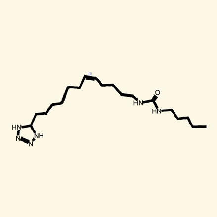 CCCCCNC(=O)NCCCC/C=C\CCCCCCC1NN=NN1